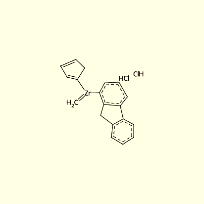 Cl.Cl.[CH2]=[Zr]([C]1=CC=CC1)[c]1cccc2c1Cc1ccccc1-2